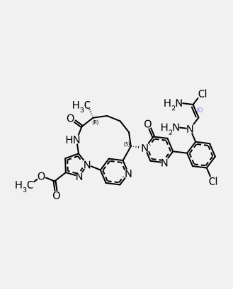 COC(=O)c1cc2n(n1)-c1ccnc(c1)[C@@H](n1cnc(-c3cc(Cl)ccc3N(N)/C=C(\N)Cl)cc1=O)CCC[C@@H](C)C(=O)N2